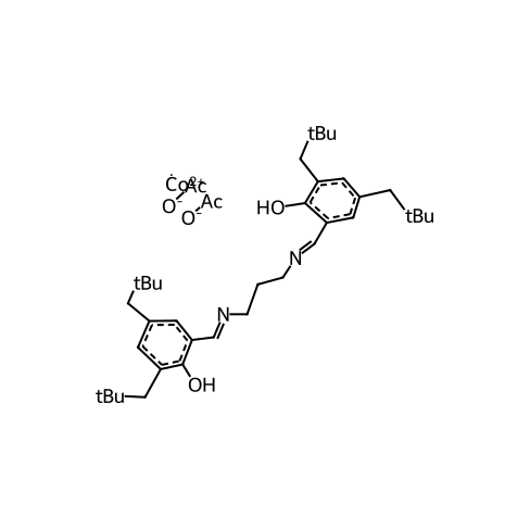 CC(=O)[O-].CC(=O)[O-].CC(C)(C)Cc1cc(C=NCCCN=Cc2cc(CC(C)(C)C)cc(CC(C)(C)C)c2O)c(O)c(CC(C)(C)C)c1.[Co+2]